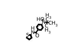 CC(C)(C)N(O)c1ccc(C(=O)Nc2cccs2)cc1